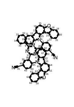 N#Cc1ccc(-n2c3ccccc3c3ccc4oc5ccccc5c4c32)c(-c2nc(-c3ccccc3)nc(-c3cc(C#N)ccc3-n3c4ccccc4c4ccc5oc6ccccc6c5c43)n2)c1